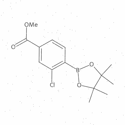 COC(=O)c1ccc(B2OC(C)(C)C(C)(C)O2)c(Cl)c1